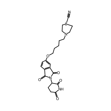 N#CB1CCN(CCCCCOc2ccc3c(c2)C(=O)N(C2CCC(=O)NC2=O)C3=O)CC1